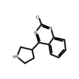 Clc1nc(C2CCNC2)c2ccccc2n1